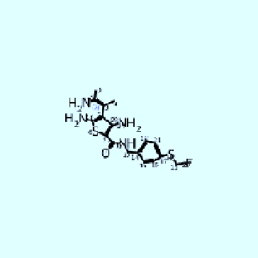 C/C(N)=C(\C)c1c(N)sc(C(=O)NCc2ccc(SCF)cc2)c1N